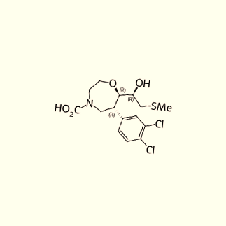 CSC[C@H](O)[C@@H]1OCCN(C(=O)O)C[C@H]1c1ccc(Cl)c(Cl)c1